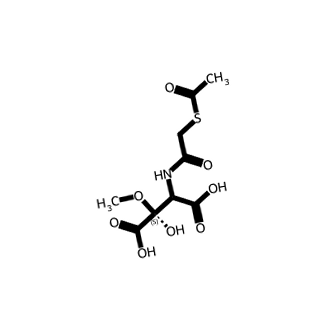 CO[C@](O)(C(=O)O)C(NC(=O)CSC(C)=O)C(=O)O